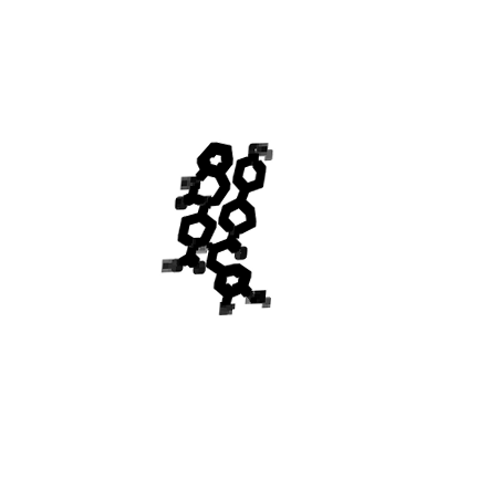 CN1CCC(C2CCN(C(=O)C(Cc3ccc(N)c(Br)c3)[C@H]3CC(N4CCc5ccccc5NC4=O)CCN3C(=O)O)CC2)CC1